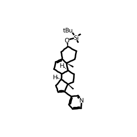 CC(C)(C)[Si](C)(C)O[C@H]1CC[C@@]2(C)C(=CCC3[C@@H]2CC[C@]2(C)C(c4cccnc4)=CC[C@@H]32)C1